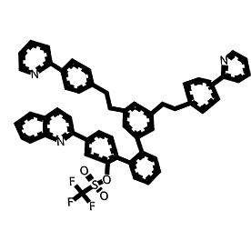 O=S(=O)(Oc1cc(-c2ccc3ccccc3n2)ccc1-c1ccccc1-c1cc(CCc2ccc(-c3ccccn3)cc2)cc(CCc2ccc(-c3ccccn3)cc2)c1)C(F)(F)F